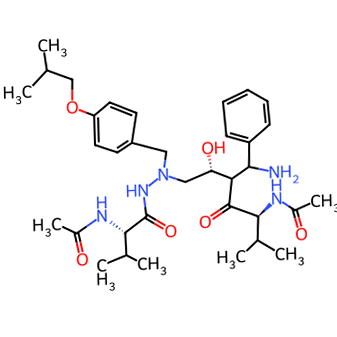 CC(=O)N[C@H](C(=O)NN(Cc1ccc(OCC(C)C)cc1)C[C@H](O)C(C(=O)[C@@H](NC(C)=O)C(C)C)C(N)c1ccccc1)C(C)C